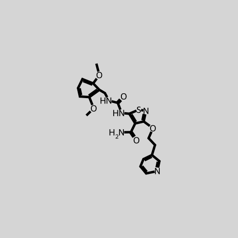 COc1cccc(OC)c1CNC(=O)Nc1snc(OCCc2cccnc2)c1C(N)=O